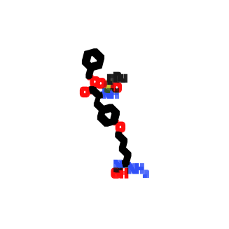 CCCCS(=O)(=O)N[C@@H](Cc1ccc(OCCCCC(N)=NO)cc1)C(=O)OCc1ccccc1